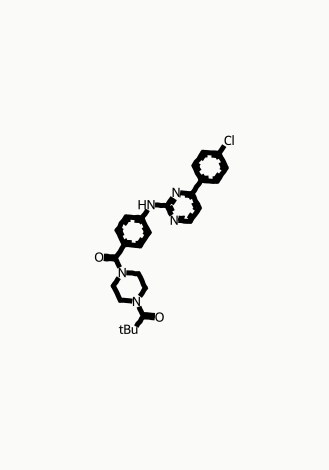 CC(C)(C)C(=O)N1CCN(C(=O)c2ccc(Nc3nccc(-c4ccc(Cl)cc4)n3)cc2)CC1